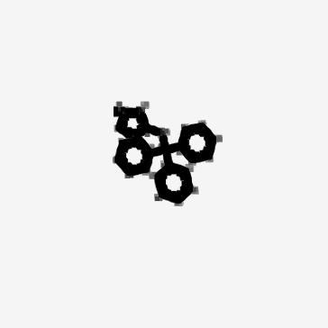 c1ccc(C(Sc2nc[nH]n2)(c2ccccc2)c2ccccc2)cc1